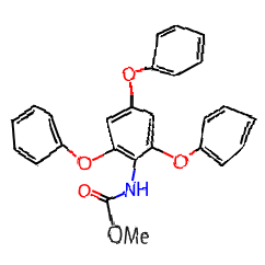 [CH2]OC(=O)Nc1c(Oc2ccccc2)cc(Oc2ccccc2)cc1Oc1ccccc1